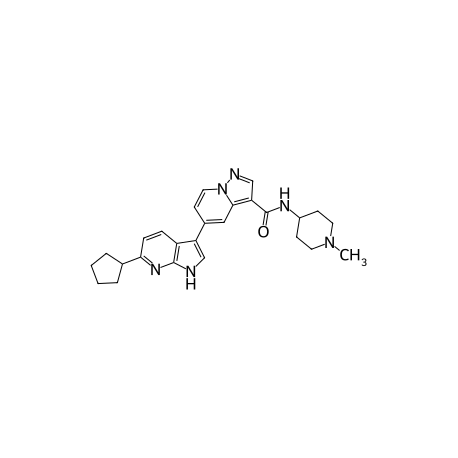 CN1CCC(NC(=O)c2cnn3ccc(-c4c[nH]c5nc(C6CCCC6)ccc45)cc23)CC1